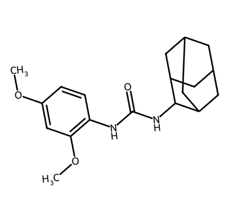 COc1ccc(NC(=O)NC2C3CC4CC(C3)CC2C4)c(OC)c1